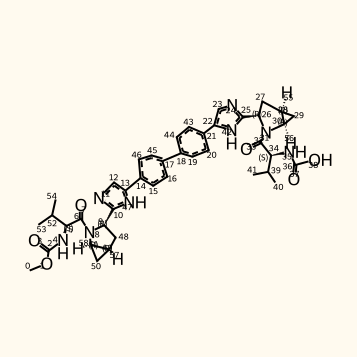 COC(=O)N[C@H](C(=O)N1[C@@H](c2ncc(-c3ccc(-c4ccc(-c5cnc([C@H]6C[C@H]7C[C@H]7N6C(=O)[C@@H](NC(=O)O)C(C)C)[nH]5)cc4)cc3)[nH]2)C[C@@H]2C[C@H]21)C(C)C